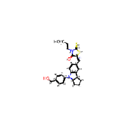 O=C(O)CCN1C(=O)/C(=C\c2ccc3c(c2)C2CCCC2N3c2ccc(CO)cc2)SC1=S